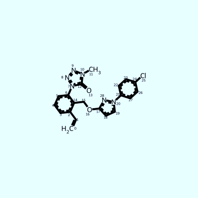 C=Cc1cccc(-n2nnn(C)c2=O)c1COc1ccn(-c2ccc(Cl)cc2)n1